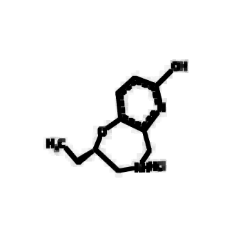 CC[C@@H]1CNCc2nc(O)ccc2O1.Cl